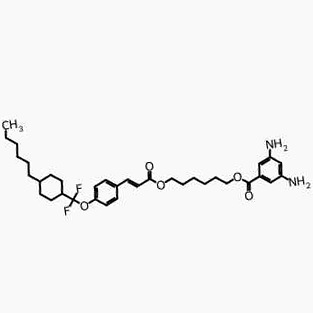 CCCCCCC1CCC(C(F)(F)Oc2ccc(/C=C/C(=O)OCCCCCCOC(=O)c3cc(N)cc(N)c3)cc2)CC1